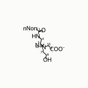 CCCCCCCCCC(=O)NCCN(CCO)CC(=O)[O-].[Na+]